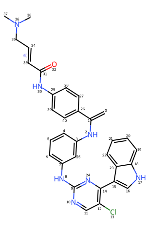 C=C(Nc1cccc(Nc2ncc(Cl)c(-c3c[nH]c4ccccc34)n2)c1)c1ccc(NC(=O)/C=C/CN(C)C)cc1